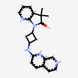 CC1(C)C(=O)N(C2CC(Nc3ccc4ccncc4n3)C2)c2ncccc21